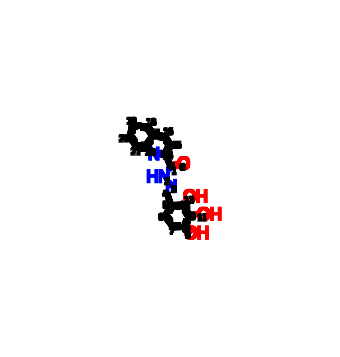 O=C(N/N=C/c1ccc(O)c(O)c1O)c1ccc2ccccc2n1